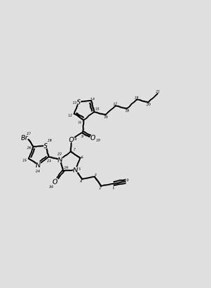 C#CCCCN1CC(OC(=O)c2cscc2CCCCCC)N(c2ncc(Br)s2)C1=O